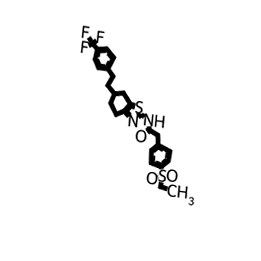 CCS(=O)(=O)c1ccc(CC(=O)Nc2nc3c(s2)CC(CCc2ccc(C(F)(F)F)cc2)CC3)cc1